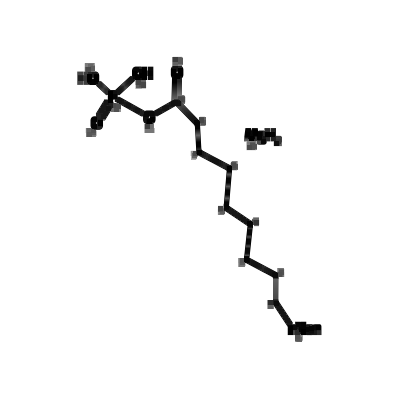 CCCCCCCCCCCCCCCCCC(=O)OP(=O)(O)O.[MgH2]